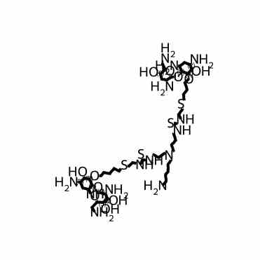 NCCCCCN(CCCCNC(=S)NCCSCCCCO[C@@H]1C(O)[C@H](N)CC(N)[C@@H]1O[C@@H]1OC(CN)[C@@H](O)CC1N)CCCNC(=S)NCCSCCCCCO[C@@H]1C(O)[C@H](N)CC(N)[C@@H]1O[C@@H]1OC(CN)[C@@H](O)[C@H](O)C1N